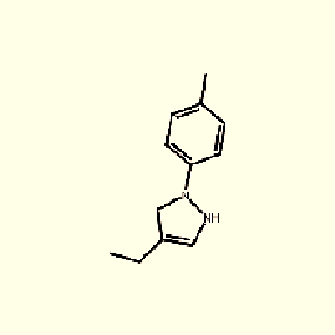 CCC1=CNN(c2ccc(C)cc2)C1